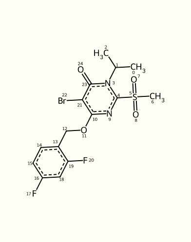 CC(C)n1c(S(C)(=O)=O)nc(OCc2ccc(F)cc2F)c(Br)c1=O